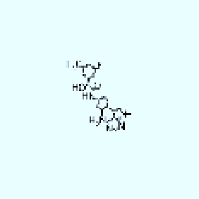 Cc1nc(N)c2c(-c3ccc(NC(=O)C(O)c4cc(F)cc(C(F)(F)F)c4)cc3C)cn(C)c2n1